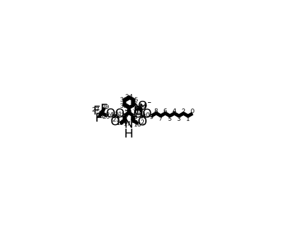 CCCCCCCCCCOC(=O)OC1=C(C)NC(C)=C(OC(=O)OCC(F)(F)F)C1c1ccccc1[N+](=O)[O-]